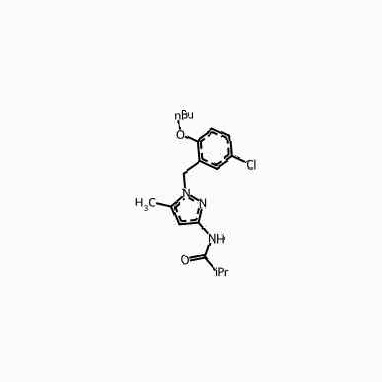 CCCCOc1ccc(Cl)cc1Cn1nc(NC(=O)C(C)C)cc1C